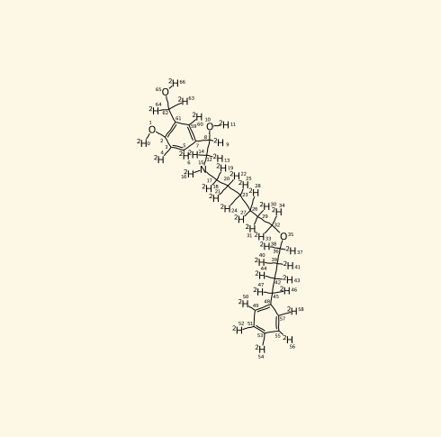 [2H]Oc1c([2H])c([2H])c(C([2H])(O[2H])C([2H])([2H])N([2H])C([2H])([2H])C([2H])([2H])C([2H])([2H])C([2H])([2H])C([2H])([2H])C([2H])([2H])OC([2H])([2H])C([2H])([2H])C([2H])([2H])C([2H])([2H])c2c([2H])c([2H])c([2H])c([2H])c2[2H])c([2H])c1C([2H])([2H])O[2H]